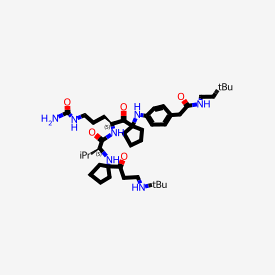 CC(C)[C@H](NC1(C(=O)CCNC(C)(C)C)CCCC1)C(=O)N[C@@H](CCCNC(N)=O)C(=O)C1(Nc2ccc(CC(=O)NCCC(C)(C)C)cc2)CCCC1